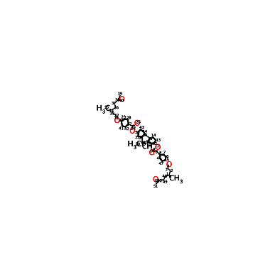 CC(CCOc1ccc(C(=O)Oc2ccc3c(c2)C(C)(C)c2cc(OC(=O)c4ccc(OCCC(C)CCC5CO5)cc4)ccc2-3)cc1)CCC1CO1